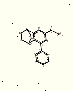 NNc1cc(-c2ccccc2)c2c(n1)C1CCN2CC1